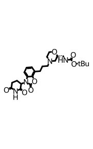 CC(C)(C)OC(=O)NC[C@@H]1CN(CCCc2cccc3c2oc(=O)n3C2CCC(=O)NC2=O)CCO1